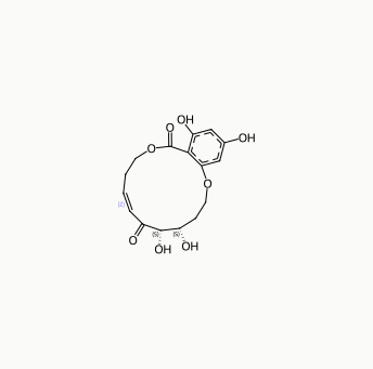 O=C1OCC/C=C\C(=O)[C@@H](O)[C@@H](O)CCOc2cc(O)cc(O)c21